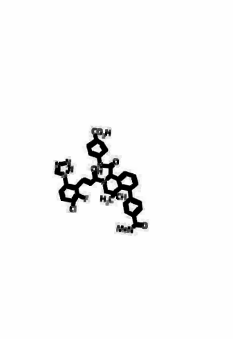 CNC(=O)c1ccc(-c2cccc3c2C(C)(C)CN(C(=O)/C=C/c2c(-n4cnnn4)ccc(Cl)c2F)C3C(=O)Nc2ccc(C(=O)O)cc2)cc1